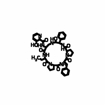 CCC1NC(=O)C(NC(=O)c2ncccc2O)CNC(=O)C(c2ccccc2)NC(=O)C2CCCN2C(=O)C(Cc2ccccc2)NC(=O)C2CCCN2C1=O